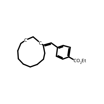 CCOC(=O)c1ccc(C=C2CCCCCCCCCCC2)cc1